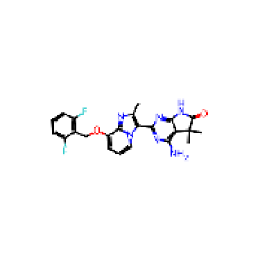 Cc1nc2c(OCc3c(F)cccc3F)cccn2c1-c1nc(N)c2c(n1)NC(=O)C2(C)C